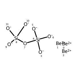 [Be+2].[Be+2].[Be+2].[O-][Si]([O-])([O-])O[Si]([O-])([O-])[O-]